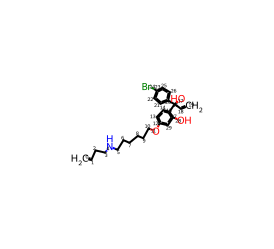 C=CCCNCCCCCCOc1ccc(C(O)(C=C)c2ccc(Br)cc2)c(O)c1